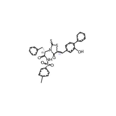 Cc1ccc(S(=O)(=O)NC(=O)[C@H](Cc2ccccc2)N2C(=O)/C(=C/c3ccc(-c4ccccc4)c(O)c3)SC2=S)cc1